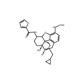 O=CNc1ccc2c3c1OC1C(NC(=O)c4ccco4)CC[C@@]4(O)[C@@H](C2)N(CC2CC2)CC[C@]314